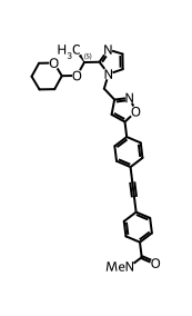 CNC(=O)c1ccc(C#Cc2ccc(-c3cc(Cn4ccnc4[C@H](C)OC4CCCCO4)no3)cc2)cc1